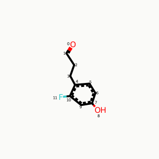 O=C[CH]Cc1ccc(O)cc1F